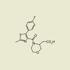 Cc1nc(C(=O)N2CCOCC2CC(=O)O)c(-c2ccc(F)cc2)s1